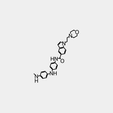 CNc1ccc(Nc2ccc(NC(=O)c3ccc4c(ccn4CCN4CCOCC4)c3)cc2)cc1